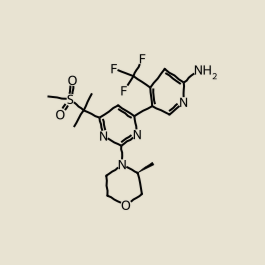 C[C@H]1COCCN1c1nc(-c2cnc(N)cc2C(F)(F)F)cc(C(C)(C)S(C)(=O)=O)n1